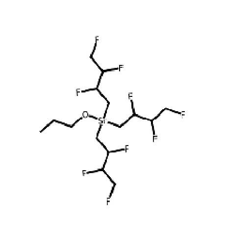 CCC[O][Sn]([CH2]C(F)C(F)CF)([CH2]C(F)C(F)CF)[CH2]C(F)C(F)CF